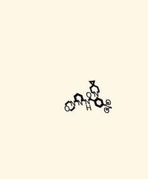 CS(=O)(=O)c1ccc(C(=O)Nc2cccc(N3CCOCC3)n2)c(N2CCC3(CC2)CC3)c1